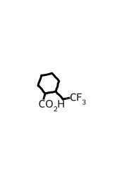 O=C(O)C1CCCCC1CC(F)(F)F